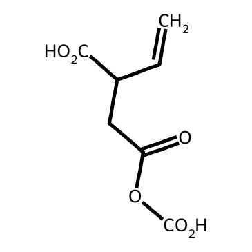 C=CC(CC(=O)OC(=O)O)C(=O)O